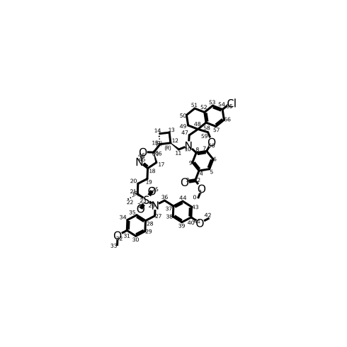 COC(=O)c1ccc2c(c1)N(C[C@@H]1CC[C@H]1[C@H]1CC(CC[C@@H](C)S(=O)(=O)N(Cc3ccc(OC)cc3)Cc3ccc(OC)cc3)=NO1)CC1(CCCc3cc(Cl)ccc31)CO2